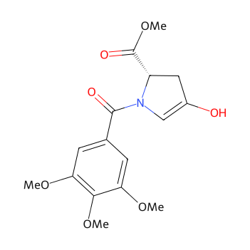 COC(=O)[C@@H]1CC(O)=CN1C(=O)c1cc(OC)c(OC)c(OC)c1